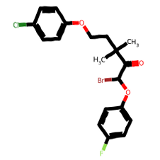 CC(C)(CCOc1ccc(Cl)cc1)C(=O)C(Br)Oc1ccc(F)cc1